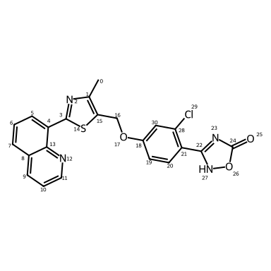 Cc1nc(-c2cccc3cccnc23)sc1COc1ccc(-c2nc(=O)o[nH]2)c(Cl)c1